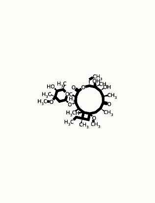 CC[C@H]1OC(=O)[C@H](C)[C@@H](O[C@H]2C[C@@](C)(OC)[C@@H](O)[C@H](C)O2)[C@H](C)[C@H]2[C@](C)(CC)C[C@@]2(OC)C[C@@H](C)C(=O)[C@H](C)[C@@H](O)[C@]1(C)O